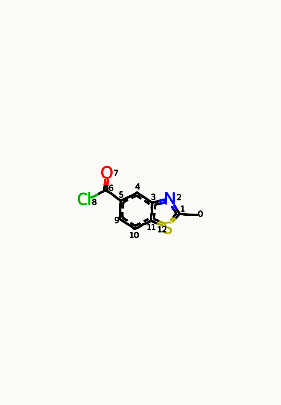 Cc1nc2cc(C(=O)Cl)ccc2s1